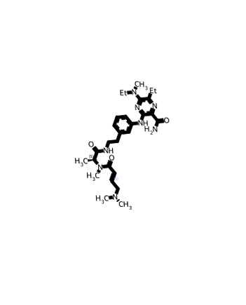 CCc1nc(C(N)=O)c(Nc2cccc(CCNC(=O)[C@H](C)N(C)C(=O)/C=C/CN(C)C)c2)nc1N(C)CC